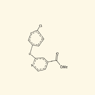 COC(=O)c1ccnc(Oc2ccc(Cl)cc2)c1